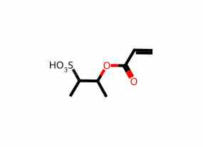 C=CC(=O)OC(C)C(C)S(=O)(=O)O